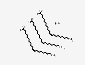 CCCCCCCC/C=C\CCCCCCCCCC(=O)[O-].CCCCCCCC/C=C\CCCCCCCCCC(=O)[O-].CCCCCCCC/C=C\CCCCCCCCCC(=O)[O-].[Pr+3]